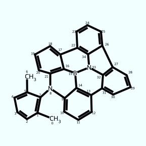 Cc1cccc(C)c1N1c2cccc3c2B2c4c(cccc41)-c1cccc4c5cccc-3c5n2c14